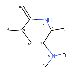 C=C(NC(C)CN(C)C)C(C)C